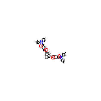 Cc1ccc(N(c2ccc(C)cc2)c2cc3cc4oc(-c5cc6c7c(cc(-c8cc9cc%10oc(N(c%11ccc(C)cc%11)c%11ccc(C)cc%11)cc%10cc9o8)c8c7c5CCC8)CCC6)cc4cc3o2)cc1